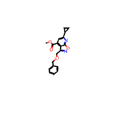 COC(=O)c1cc(C2CC2)nc2onc(COCc3ccccc3)c12